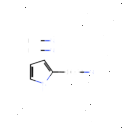 CN.CN.CN.O=C(O)c1ccc[nH]1